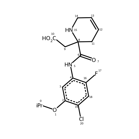 CC(C)Oc1cc(NC(=O)C2(CC(=O)O)CC=CCN2)c(F)cc1Cl